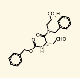 O=CC[C@H](NC(=O)OCc1ccccc1)C(=O)N(CCC(=O)O)Cc1ccccc1